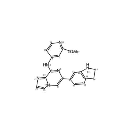 COc1cc(Nc2nc(-c3ccc4c(c3)NCC4)cn3ccnc23)ccn1